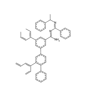 C=C/C=C(\C=C)c1cc(-c2cc(/C(N)=N/C(=N\C(C)c3ccccc3)c3ccccc3)cc(C(/C=C\C)=C/C)c2)ccc1-c1ccccc1